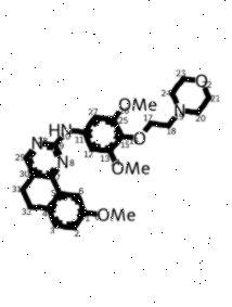 COc1ccc2c(c1)-c1nc(Nc3cc(OC)c(OCCN4CCOCC4)c(OC)c3)ncc1CC2